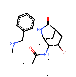 CC(=O)NC1C(Br)CC2CC1NC2=O.CNCc1ccccc1